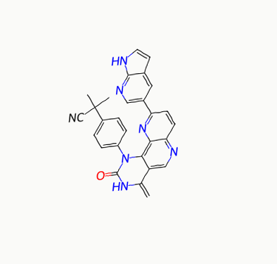 C=C1NC(=O)N(c2ccc(C(C)(C)C#N)cc2)c2c1cnc1ccc(-c3cnc4[nH]ccc4c3)nc21